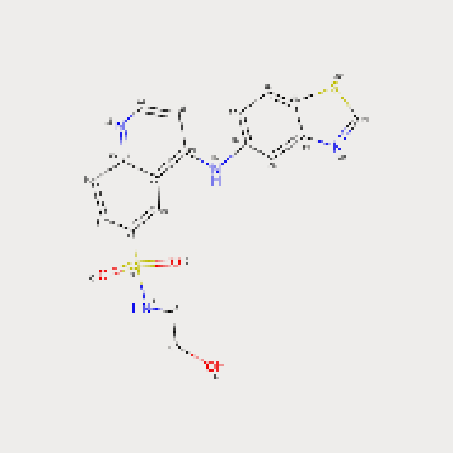 O=S(=O)(NCCO)c1ccc2nccc(Nc3ccc4scnc4c3)c2c1